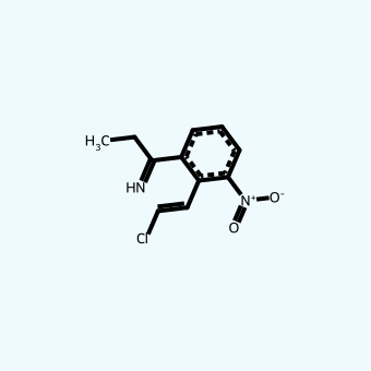 CCC(=N)c1cccc([N+](=O)[O-])c1/C=C/Cl